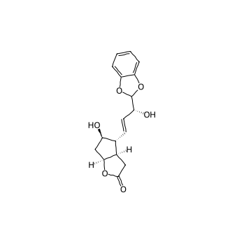 O=C1C[C@@H]2[C@@H](/C=C/[C@@H](O)C3Oc4ccccc4O3)[C@H](O)C[C@@H]2O1